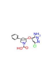 Nc1nnc(Cl)cc1O[C@@H]1C[C@H](c2ccccc2)CN(C(=O)O)C1